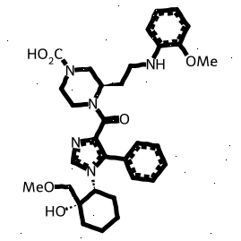 COC[C@]1(O)CCCC[C@H]1n1cnc(C(=O)N2CCN(C(=O)O)C[C@H]2CCNc2ccccc2OC)c1-c1ccccc1